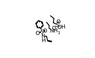 C=CCNS(=O)(=O)c1ccccc1.CCCN.CCCS(=O)(=O)O